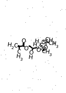 C=C(C)C(=O)OCC(O)CO[Si](C)(C)O[Si](C)(C)C